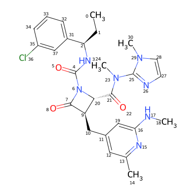 CC[C@@H](NC(=O)N1C(=O)[C@H](Cc2cc(C)nc(NC)c2)[C@H]1C(=O)N(C)c1nccn1C)c1cccc(Cl)c1